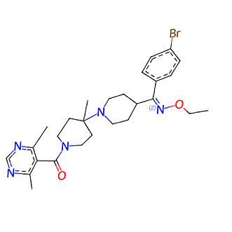 CCO/N=C(\c1ccc(Br)cc1)C1CCN(C2(C)CCN(C(=O)c3c(C)ncnc3C)CC2)CC1